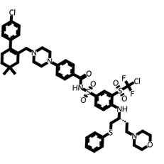 CC1(C)CCC(c2ccc(Cl)cc2)=C(CN2CCN(c3ccc(C(=O)NS(=O)(=O)c4ccc(N[C@H](CCN5CCOCC5)CSc5ccccc5)c(S(=O)(=O)C(F)(F)Cl)c4)cc3)CC2)C1